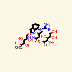 N=C(N)NCCCC(N)C(=O)O.O=C[C@H](O)[C@@H](O)[C@H](O)[C@H](O)CO.O=C[C@H](O)[C@@H](O)[C@H](O)[C@H](O)CO.c1ccc2[nH]ccc2c1